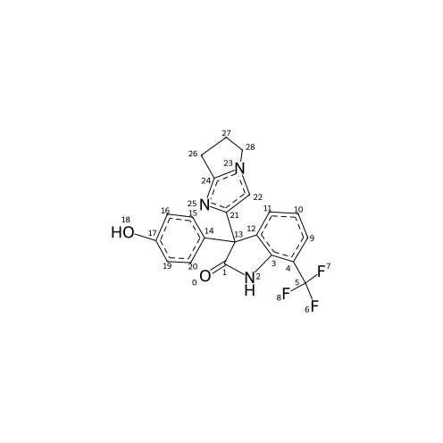 O=C1Nc2c(C(F)(F)F)cccc2C1(c1ccc(O)cc1)c1cn2c(n1)CCC2